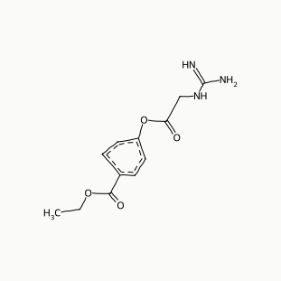 CCOC(=O)c1ccc(OC(=O)CNC(=N)N)cc1